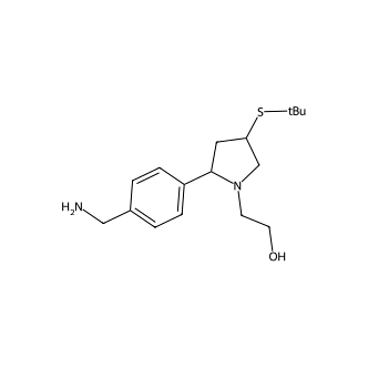 CC(C)(C)SC1CC(c2ccc(CN)cc2)N(CCO)C1